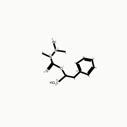 CC(=O)N(C)N(C)C(=O)OC(Cc1ccccc1)C(=O)O